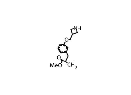 COC(=O)C(C)Cc1cccc(OCC2CNC2)c1